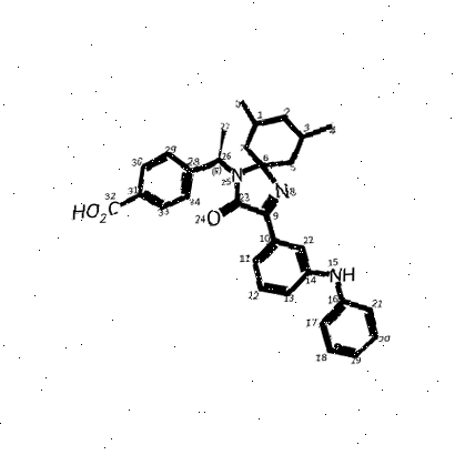 CC1CC(C)CC2(C1)N=C(c1cccc(Nc3ccccc3)c1)C(=O)N2[C@H](C)c1ccc(C(=O)O)cc1